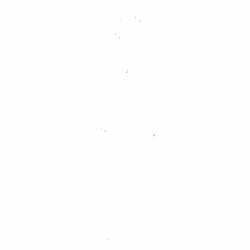 NCCOCCOCC(N)C(CCC[C@@H]1SC[C@@H]2NC(=O)N[C@@H]21)C(=O)O